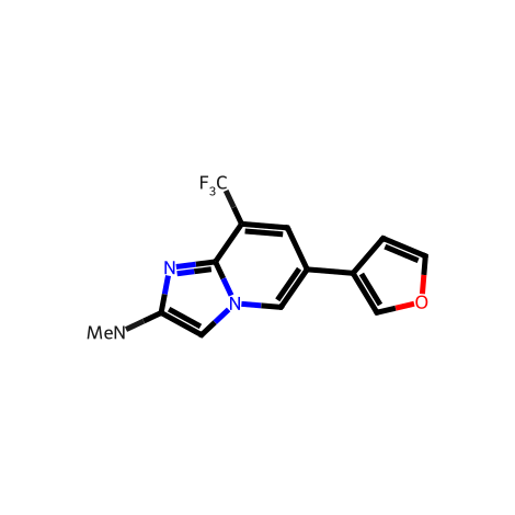 CNc1cn2cc(-c3ccoc3)cc(C(F)(F)F)c2n1